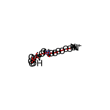 CCc1c2c(nc3ccc(OCC(=O)N/N=C(/C)c4ccccc4OCCOCCOCCOCCOCCOCCN=[N+]=[N-])cc13)-c1cc3c(c(=O)n1C2)COC(=O)C3(O)CC